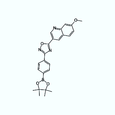 COc1ccc2cc(-c3nc(-c4ccc(B5OC(C)(C)C(C)(C)O5)cc4)no3)cnc2c1